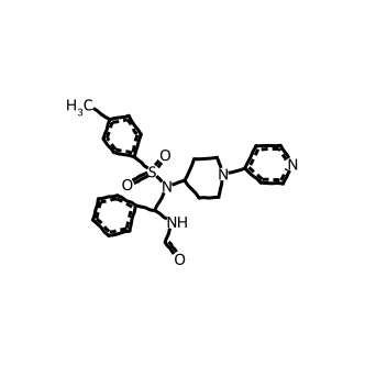 Cc1ccc(S(=O)(=O)N(C2CCN(c3ccncc3)CC2)C(NC=O)c2ccccc2)cc1